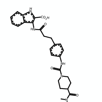 CN(C)C(=O)C1CCN(C(=O)Nc2ccc(CCC(=O)Nc3c(C(=O)O)[nH]c4ccccc34)cc2)CC1